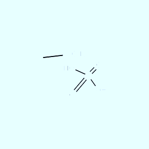 C.CC.O=S(=O)(O)O